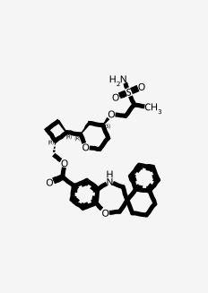 CC(CO[C@H]1CCO[C@@H]([C@@H]2CC[C@H]2COC(=O)c2ccc3c(c2)NCC2(CCCc4ccccc42)CO3)C1)S(N)(=O)=O